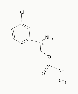 CNC(=O)OC[C@@H](N)c1cccc(Cl)c1